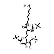 CC(C)(C)OC(=O)N=C(N)N(CCCC(NC(=O)OC(C)(C)C)C(=O)NCCCCCCN)C(=O)OC(C)(C)C